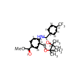 COC(=O)c1ccc(NCc2ccc(C(F)(F)F)cc2)c(B2OC(C)(C)C(C)(C)O2)c1